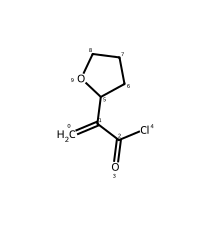 C=C(C(=O)Cl)C1CCCO1